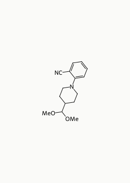 COC(OC)C1CCN(c2ccccc2C#N)CC1